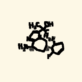 CC(C)(O)c1cnc2n1C[C@H](c1c(F)cccc1F)CC[C@H]2N